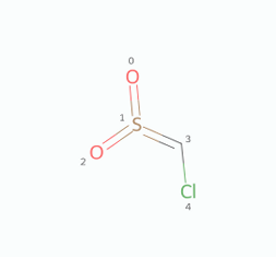 O=S(=O)=CCl